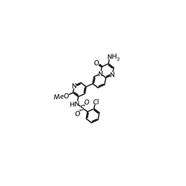 COc1ncc(-c2ccc3ncc(N)c(=O)n3c2)cc1NS(=O)(=O)c1ccccc1Cl